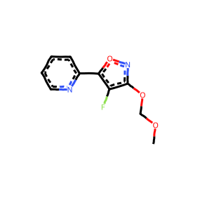 COCOc1noc(-c2ccccn2)c1F